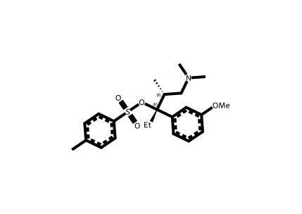 CC[C@](OS(=O)(=O)c1ccc(C)cc1)(c1cccc(OC)c1)[C@H](C)CN(C)C